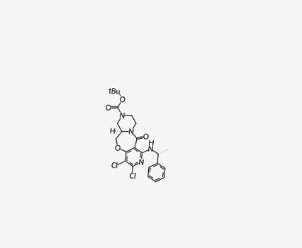 C[C@@H](Nc1nc(Cl)c(Cl)c2c1C(=O)N1CCN(C(=O)OC(C)(C)C)C[C@@H]1CO2)c1ccccc1